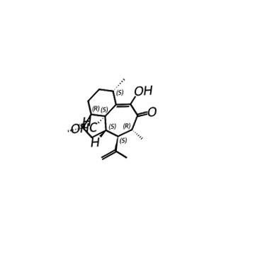 C=C(C)[C@@H]1[C@@H](C)C(=O)C(O)=C2[C@@H](C)CC[C@@H]3[C@@H](C)C[C@@H]1[C@]23C=O